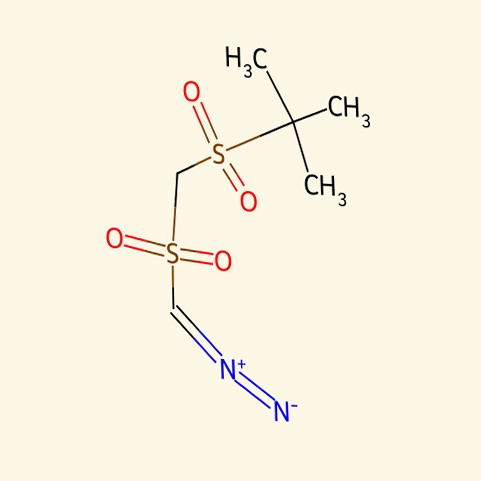 CC(C)(C)S(=O)(=O)CS(=O)(=O)C=[N+]=[N-]